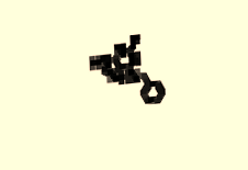 Fc1nc(NCc2ccccc2)c2nc[nH]c2n1